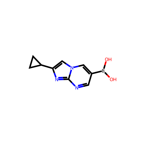 OB(O)c1cnc2nc(C3CC3)cn2c1